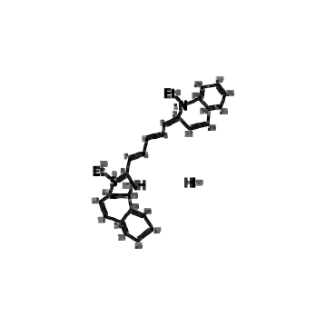 CCN1C(=CC=CC=CC2=S(CC)c3ccc4ccccc4c3N2)C=Cc2ccccc21.I